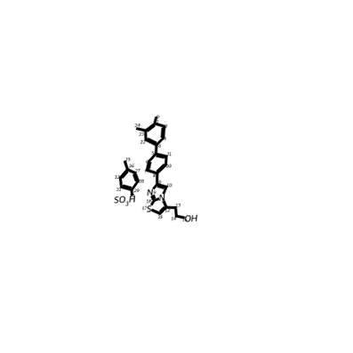 Cc1ccc(-c2ccc(-c3cn4c(CCO)csc4n3)cc2)cc1C.Cc1ccc(S(=O)(=O)O)cc1